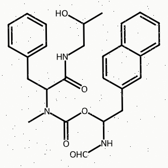 CC(O)CNC(=O)C(Cc1ccccc1)N(C)C(=O)OC(Cc1ccc2ccccc2c1)NC=O